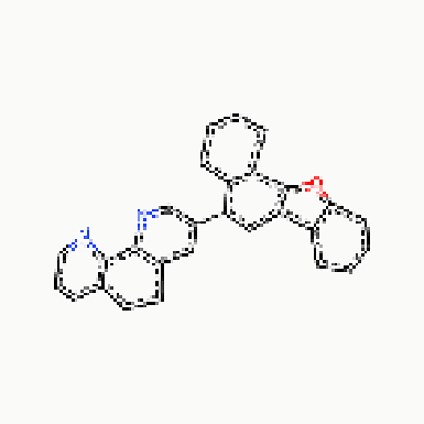 c1cnc2c(c1)ccc1cc(-c3cc4c5ccccc5oc4c4ccccc34)cnc12